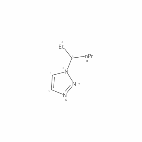 CCCC(CC)n1ccnn1